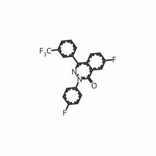 O=c1c2cc(F)ccc2c(-c2cccc(C(F)(F)F)c2)nn1-c1ccc(F)cc1